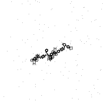 CC1(C)CCC(c2ccc(Cl)cc2)=C(CN2CCN(c3ccc(C(=O)NS(=O)(=O)c4ccc(N[C@H](CCN5CCN(Cc6cnnc(N7CCC(=O)NC7=O)c6)CC5)CSc5ccccc5)c(S(=O)(=O)C(F)(F)F)c4)cc3)CC2)C1